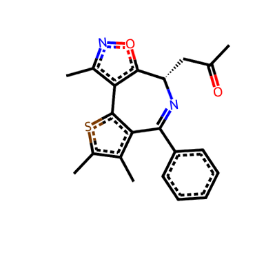 CC(=O)C[C@@H]1N=C(c2ccccc2)c2c(sc(C)c2C)-c2c(C)noc21